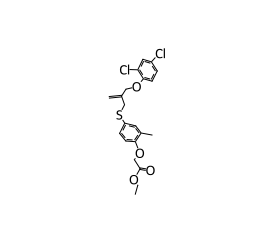 C=C(COc1ccc(Cl)cc1Cl)CSc1ccc(OCC(=O)OCC)c(C)c1